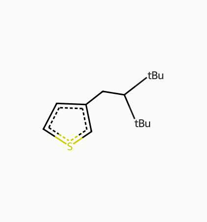 CC(C)(C)C(Cc1ccsc1)C(C)(C)C